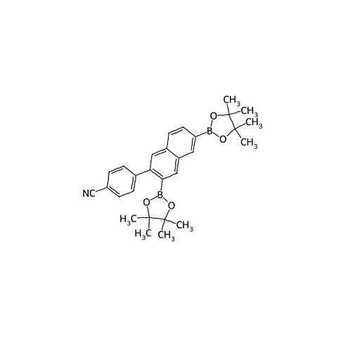 CC1(C)OB(c2ccc3cc(-c4ccc(C#N)cc4)c(B4OC(C)(C)C(C)(C)O4)cc3c2)OC1(C)C